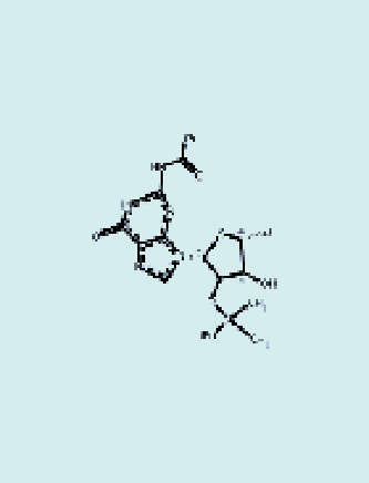 CC[C@H]1S[C@@H](n2cnc3c(=O)[nH]c(NC(=O)C(C)C)nc32)C(O[Si](C)(C)C(C)(C)C)[C@@H]1O